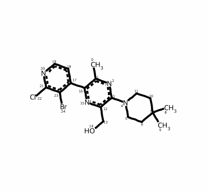 Cc1nc(N2CCC(C)(C)CC2)c(CO)nc1-c1ccnc(Cl)c1Br